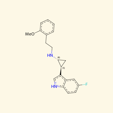 COc1ccccc1CCN[C@@H]1C[C@H]1c1c[nH]c2ccc(F)cc12